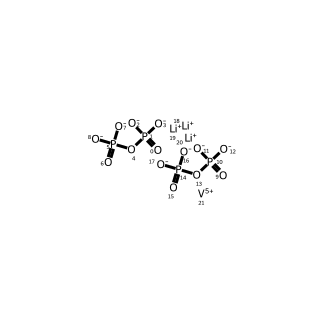 O=P([O-])([O-])OP(=O)([O-])[O-].O=P([O-])([O-])OP(=O)([O-])[O-].[Li+].[Li+].[Li+].[V+5]